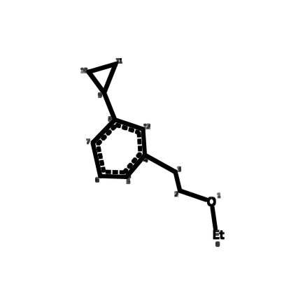 CCOCCc1[c]ccc(C2CC2)c1